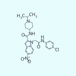 CC(C)N1CCC(NC(=O)c2cc3cc([N+](=O)[O-])ccc3n2CC(=O)Nc2ccc(Cl)cc2)CC1